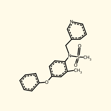 Cc1cc(Oc2ccccc2)ccc1N(Cc1cccnc1)S(C)(=O)=O